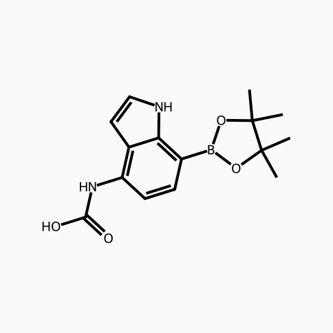 CC1(C)OB(c2ccc(NC(=O)O)c3cc[nH]c23)OC1(C)C